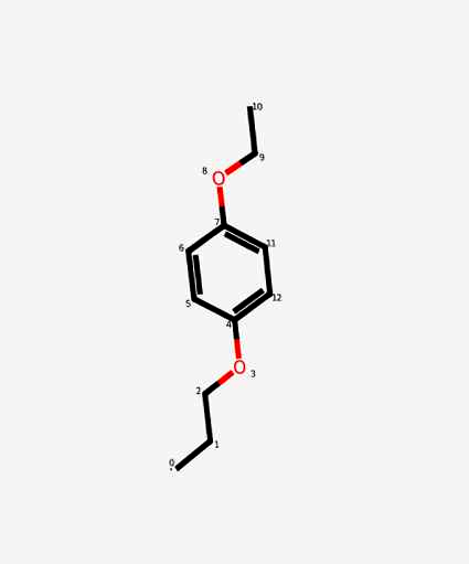 [CH2]CCOc1ccc(OCC)cc1